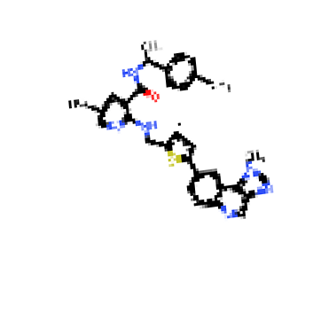 Cc1ccc([C@H](C)NC(=O)c2cc(C#N)cnc2NCc2ccc(-c3ccc4ncc5ncn(C)c5c4c3)s2)cc1